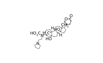 C[C@]12CC[C@H](N(CCN3CCCC3)C(=O)O)C[C@@]1(O)CC[C@@H]1[C@@H]2CC[C@]2(C)[C@@H](c3ccc(=O)oc3)CC[C@]12O